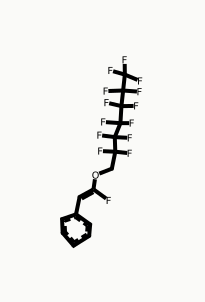 FC(=Cc1ccccc1)OCC(F)(F)C(F)(F)C(F)(F)C(F)(F)C(F)(F)C(F)(F)F